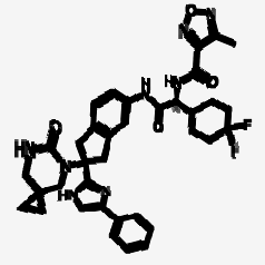 Cc1nonc1C(=O)N[C@H](C(=O)Nc1ccc2c(c1)CC(c1nc(-c3ccccc3)c[nH]1)(N1CC3(CC3)CNC1=O)C2)C1CCC(F)(F)CC1